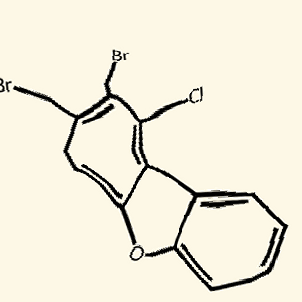 Clc1c(Br)c(Br)cc2oc3ccccc3c12